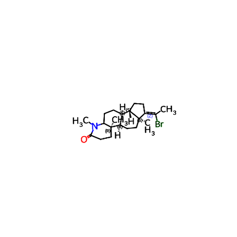 C/C(Br)=C1\CC[C@H]2[C@@H]3CCC4N(C)C(=O)CC[C@]4(C)[C@@H]3CC[C@]12C